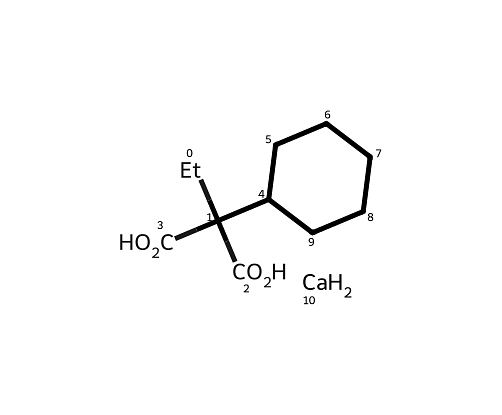 CCC(C(=O)O)(C(=O)O)C1CCCCC1.[CaH2]